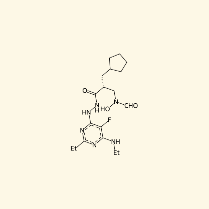 CCNc1nc(CC)nc(NNC(=O)[C@H](CC2CCCC2)CN(O)C=O)c1F